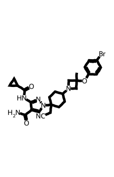 CC1(Oc2ccc(Br)cc2)CN(C2CCC(CC#N)(n3cc(C(N)=O)c(NC(=O)C4CC4)n3)CC2)C1